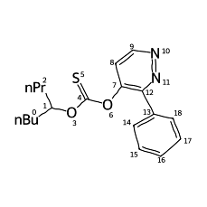 CCCCC(CCC)OC(=S)Oc1ccnnc1-c1ccccc1